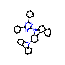 c1ccc(-c2nc(-c3ccccc3)nc(-n3c4cc(-n5c6ccccc6c6ccccc65)ccc4c4c5ccccc5ccc43)n2)cc1